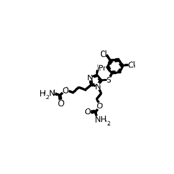 CC(C)c1nc(CCCOC(N)=O)n(CCOC(N)=O)c1Sc1cc(Cl)cc(Cl)c1